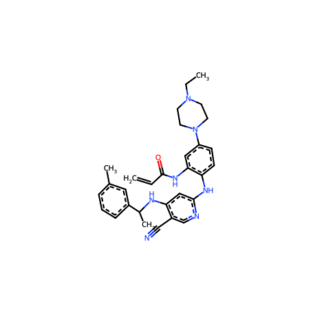 C=CC(=O)Nc1cc(N2CCN(CC)CC2)ccc1Nc1cc(NC(C)c2cccc(C)c2)c(C#N)cn1